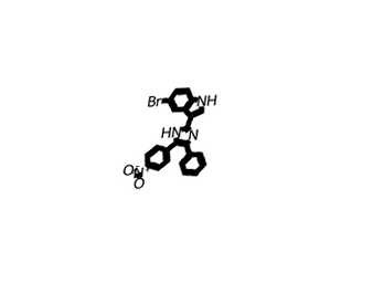 O=[N+]([O-])c1ccc(-c2[nH]c(-c3c[nH]c4ccc(Br)cc34)nc2-c2ccccc2)cc1